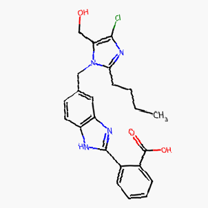 CCCCc1nc(Cl)c(CO)n1Cc1ccc2[nH]c(-c3ccccc3C(=O)O)nc2c1